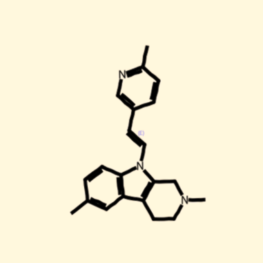 Cc1ccc2c(c1)c1c(n2/C=C/c2ccc(C)nc2)CN(C)CC1